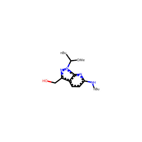 CCCCNc1ccc2c(CO)nn(C(CCCC)OC)c2n1